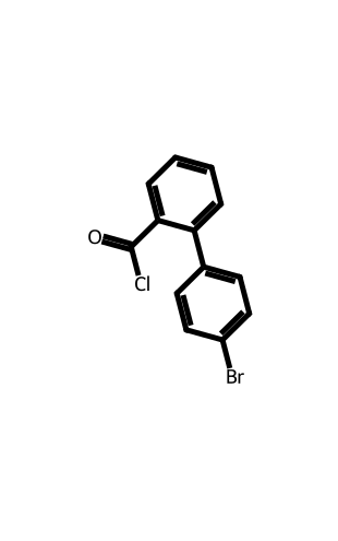 O=C(Cl)c1ccccc1-c1ccc(Br)cc1